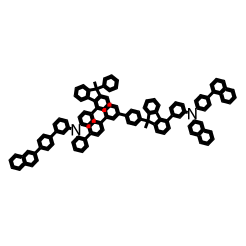 CC1(c2ccccc2)c2ccccc2-c2c(-c3ccc(N(c4cccc(-c5ccc(-c6ccc7ccccc7c6)cc5)c4)c4ccccc4-c4ccc(-c5cccc(-c6ccc(C7(C)c8ccccc8-c8c(-c9cccc(N(c%10ccc(-c%11cccc%12ccccc%11%12)cc%10)c%10ccc%11ccccc%11c%10)c9)cccc87)cc6)c5)cc4)cc3)cccc21